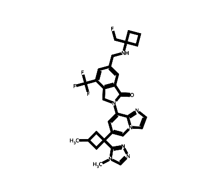 CC1CC(c2cc(N3Cc4c(cc(CNC5(CF)CCC5)cc4C(F)(F)F)C3=O)c3nccn3c2)(c2nncn2C)C1